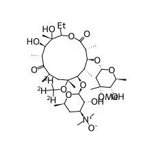 [2H]C([2H])([2H])O[C@]1(C)C[C@@H](C)C(=O)[C@H](C)[C@@H](O)[C@](C)(O)C(CC)OC(=O)[C@H](C)[C@@H](O[C@H]2C[C@@](C)(OC)[C@@H](O)[C@H](C)O2)[C@H](C)[C@H]1O[C@@H]1O[C@H](C)C[C@H]([N+](C)(C)[O-])[C@H]1O